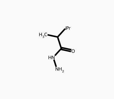 CC(C)C(C)C(=O)NN